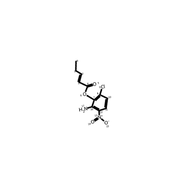 CCC=CC(=O)Oc1c(Cl)ccc([N+](=O)[O-])c1N